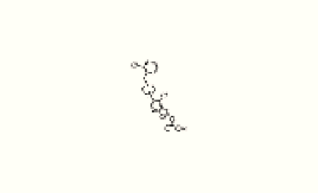 O=C(O)Oc1cc2c(Cl)c(N3CCN(Cc4ccccc4Cl)CC3)ccc2o1